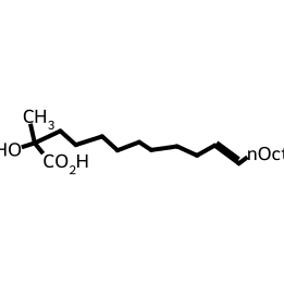 CCCCCCCCC=CCCCCCCCCC(C)(O)C(=O)O